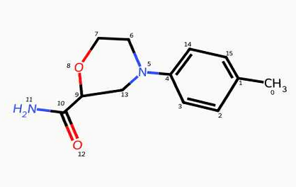 Cc1ccc(N2CCOC(C(N)=O)C2)cc1